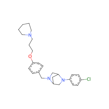 Clc1ccc(N2CC3CC2CN3Cc2ccc(OCCCN3CCCCC3)cc2)cc1